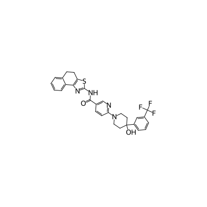 O=C(Nc1nc2c(s1)CCc1ccccc1-2)c1ccc(N2CCC(O)(c3cccc(C(F)(F)F)c3)CC2)nc1